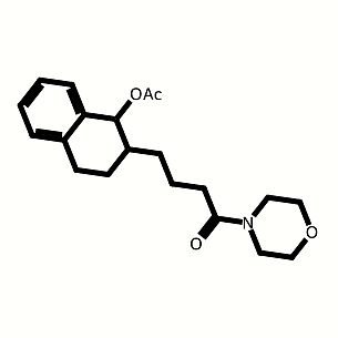 CC(=O)OC1c2ccccc2CCC1CCCC(=O)N1CCOCC1